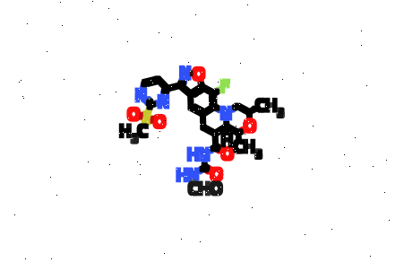 C[C@@H]1CN2c3c(cc4c(-c5ccnc(S(C)(=O)=O)n5)noc4c3F)CC(C(=O)NC(=O)NC=O)[C@H]2[C@H](C)O1